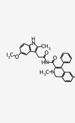 COc1ccc2c(c1)C(c1ccccc1)=C(C(=O)NC(=O)Cc1c(C)[nH]c3ccc(OC)cc13)N(C)C2